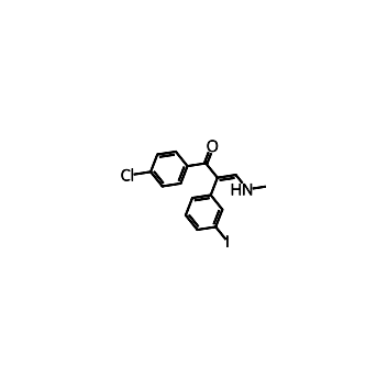 CN/C=C(/C(=O)c1ccc(Cl)cc1)c1cccc(I)c1